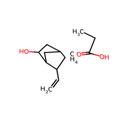 C.C=CC1CC2CC(O)C1C2.CCC(=O)O